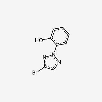 Oc1ccccc1-n1ncc(Br)n1